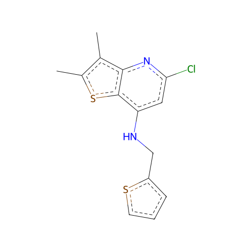 Cc1sc2c(NCc3cccs3)cc(Cl)nc2c1C